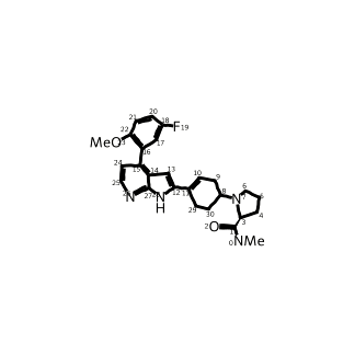 CNC(=O)[C@@H]1CCCN1C1CC=C(c2cc3c(-c4cc(F)ccc4OC)ccnc3[nH]2)CC1